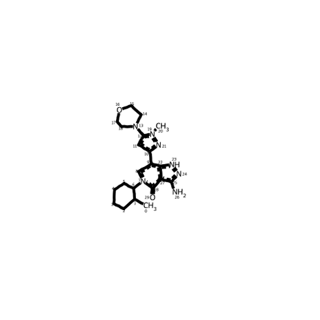 CC1CCCCC1n1cc(-c2cc(N3CCOCC3)n(C)n2)c2[nH]nc(N)c2c1=O